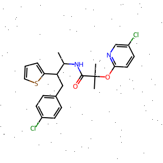 CC(NC(=O)C(C)(C)Oc1ccc(Cl)cn1)C(Cc1ccc(Cl)cc1)c1cccs1